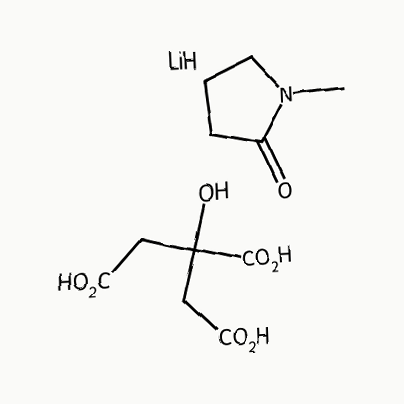 CN1CCCC1=O.O=C(O)CC(O)(CC(=O)O)C(=O)O.[LiH]